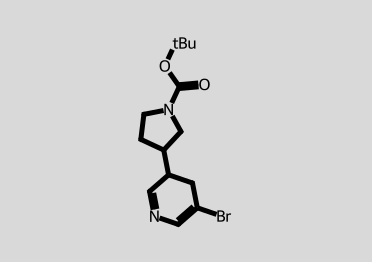 CC(C)(C)OC(=O)N1CCC(C2C=NC=C(Br)C2)C1